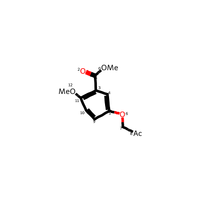 COC(=O)c1cc(OCC(C)=O)ccc1OC